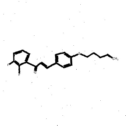 CCCCCSc1ccc(C=CC(=O)c2cccc(F)c2F)cc1